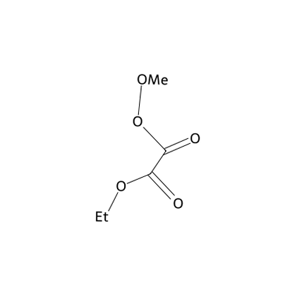 CCOC(=O)C(=O)OOC